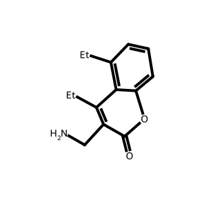 CCc1cccc2oc(=O)c(CN)c(CC)c12